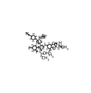 Br.CCC(O)CN1C=[N+](Cc2cc(C)c(OC(=O)CNC)c(C)c2)C(c2nc(-c3ccc(C#N)cc3)cs2)N1c1ccc(F)cc1F.[Br-]